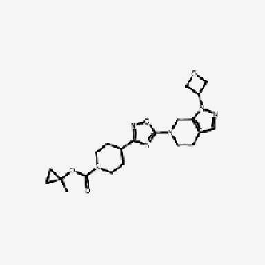 CC1(OC(=O)N2CCC(c3noc(N4CCc5cnn(C6COC6)c5C4)n3)CC2)CC1